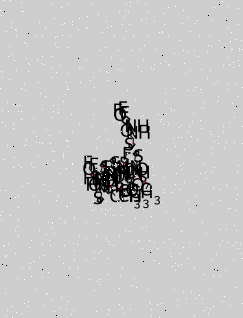 CCc1ccc(NC(=O)NCCc2cccs2)cc1.COC(=O)c1ccc(NC(=O)Nc2ccc(F)cc2)c(O)c1.COc1ccc(NC(=O)NCCc2cccs2)cc1.Cc1ccc(NC(=O)NCCc2cccs2)cc1.O=C(NCCc1cccs1)Nc1ccc(OC(F)(F)F)cc1.O=C(NCCc1cccs1)Nc1ccc(OC(F)F)cc1